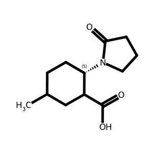 CC1CC[C@H](N2CCCC2=O)C(C(=O)O)C1